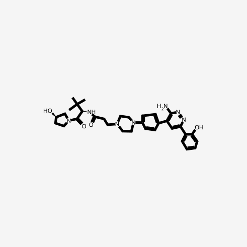 CC(C)(C)[C@H](NC(=O)CCN1CCN(c2ccc(-c3cc(-c4ccccc4O)nnc3N)cc2)CC1)C(=O)N1CC[C@@H](O)C1